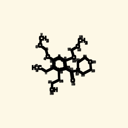 CCc1c(OCOC)cc(OCOC)c(C(=O)N2CCOCC2)c1CCO